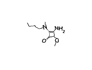 CCCCN(C)C1=C(N)C(OC)C1=O